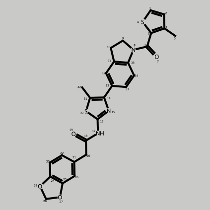 Cc1ccsc1C(=O)N1CCc2cc(-c3nc(NC(=O)Cc4ccc5c(c4)OCO5)sc3C)ccc21